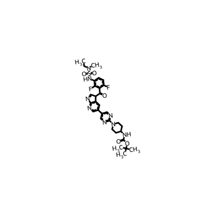 CCN(C)S(=O)(=O)Nc1ccc(F)c(C(=O)C2C=Nc3ncc(-c4cnc(N5CCC(NC(=O)OC(C)(C)C)CC5)nc4)cc32)c1F